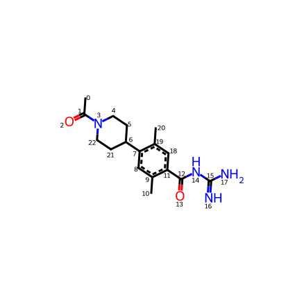 CC(=O)N1CCC(c2cc(C)c(C(=O)NC(=N)N)cc2C)CC1